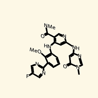 CNC(=O)c1cnc(Nc2cc(=O)n(C)cn2)cc1Nc1cccc(-c2ncc(F)cn2)c1OC